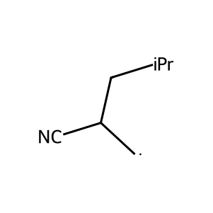 [CH2]C(C#N)CC(C)C